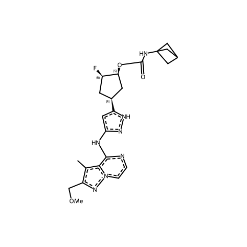 COCc1nn2ccnc(Nc3cc([C@H]4C[C@@H](F)[C@@H](OC(=O)NC56CC(C5)C6)C4)[nH]n3)c2c1C